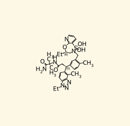 CC[C@@H]1CN(Cc2cc([C@H](CC(=O)NC(C)(C)C(N)=O)c3ccc4c(nnn4CC)c3C)ccc2C)S(O)(O)c2cccnc2O1